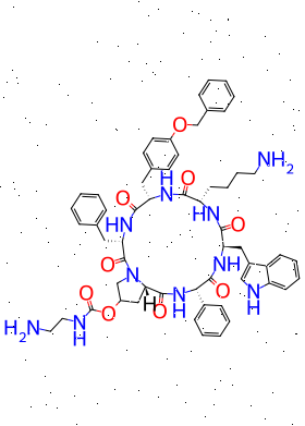 NCCCC[C@@H]1NC(=O)[C@@H](Cc2c[nH]c3ccccc23)NC(=O)[C@H](c2ccccc2)NC(=O)[C@@H]2CC(OC(=O)NCCN)CN2C(=O)[C@H](Cc2ccccc2)NC(=O)[C@H](Cc2ccc(OCc3ccccc3)cc2)NC1=O